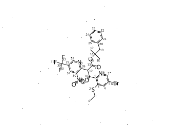 CCSc1cc(Br)cnc1C(=O)C(C(=O)OC(C)(C)Cc1ccccc1)c1ncc(C(F)(F)F)cc1[N+](=O)[O-]